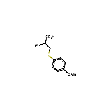 COc1ccc(SCC(C(=O)O)C(C)C)cc1